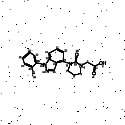 O=C(O)CN1CCCN(c2cccc3c2cnn3-c2ccccc2F)C1=O